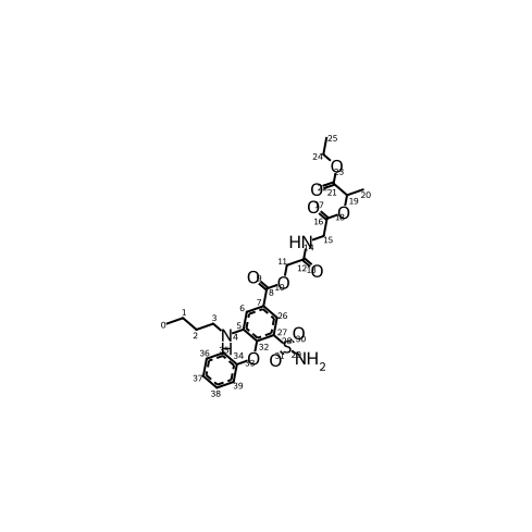 CCCCNc1cc(C(=O)OCC(=O)NCC(=O)OC(C)C(=O)OCC)cc(S(N)(=O)=O)c1Oc1ccccc1